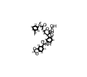 CN(C(=O)C[C@H]1CC2c3cc(NC(=O)c4ccc5c(c4)OCO5)ccc3O[C@H]2[C@@H](CO)O1)c1cccc(F)c1